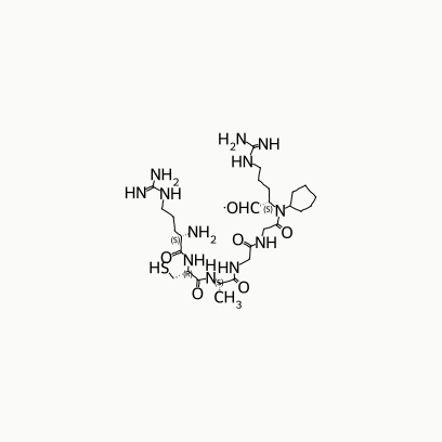 C[C@H](NC(=O)[C@H](CS)NC(=O)[C@@H](N)CCCNC(=N)N)C(=O)NCC(=O)NCC(=O)N(C1CCCCC1)[C@H]([C]=O)CCCNC(=N)N